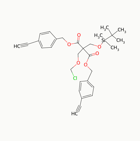 C#Cc1ccc(COC(=O)C(COCCl)(CO[Si](C)(C)C(C)(C)C)C(=O)OCc2ccc(C#C)cc2)cc1